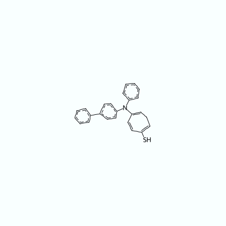 SC1=CCC=C(N(c2ccccc2)c2ccc(-c3ccccc3)cc2)C=C1